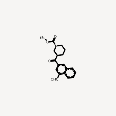 CC(C)(C)OC(=O)N1CCCC(C(=O)c2cc(C=O)c3ccccc3c2)C1